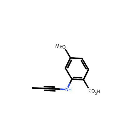 CC#CNc1cc(OC)ccc1C(=O)O